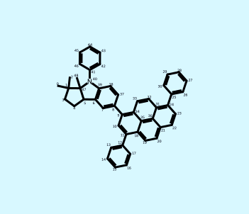 CC1(C)CCC2c3cc(-c4cc(-c5ccccc5)c5ccc6ccc(-c7ccccc7)c7ccc4c5c67)ccc3N(c3ccccc3)C21C